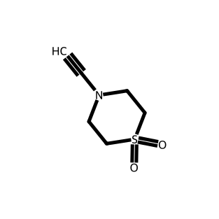 C#CN1CCS(=O)(=O)CC1